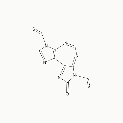 O=c1nc2c3ncn(C=S)c3ncnc-2n1C=S